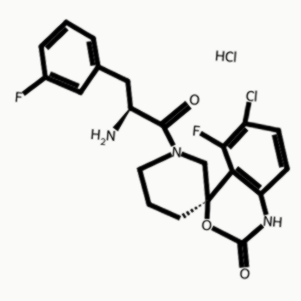 Cl.N[C@@H](Cc1cccc(F)c1)C(=O)N1CCC[C@@]2(C1)OC(=O)Nc1ccc(Cl)c(F)c12